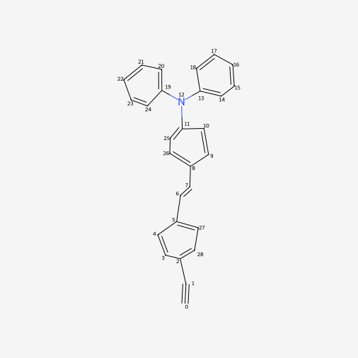 C#Cc1ccc(/C=C/c2ccc(N(c3ccccc3)c3ccccc3)cc2)cc1